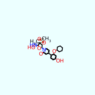 C[C@@](CCn1ccc(-c2ccc(O)cc2OC2CCCCC2)cc1=O)(C(=O)NO)S(C)(=O)=O